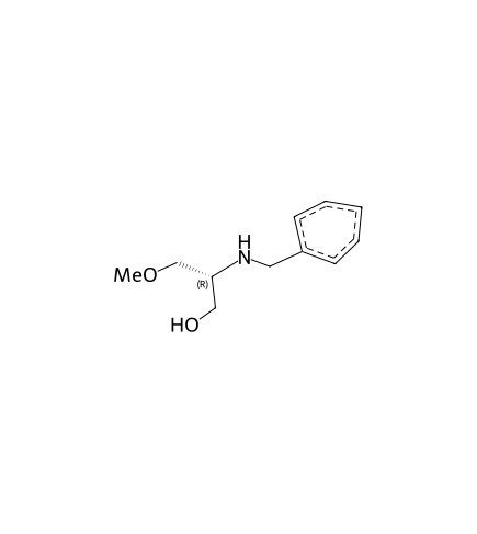 COC[C@@H](CO)NCc1ccccc1